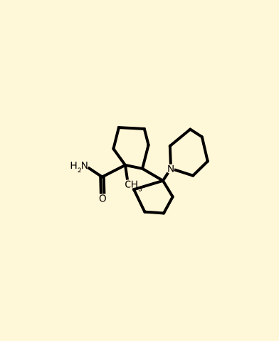 CC1(C(N)=O)CCCCC1C1(N2CCCCC2)CCCC1